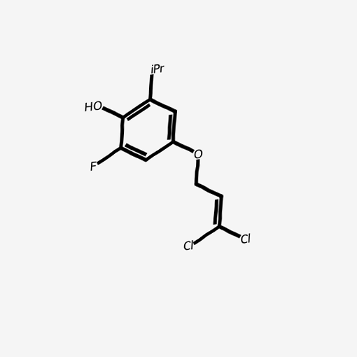 CC(C)c1cc(OCC=C(Cl)Cl)cc(F)c1O